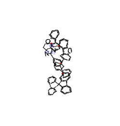 C1=CC(c2ccc3oc4cccc(C5=C/CC/C(c6cccc7c6oc6ccccc67)=N/C(c6ccc(-c7ccccc7)cc6)=N\5)c4c3c2)CC(c2ccc3c(c2)C2(c4ccccc4-c4ccccc42)c2ccccc2-3)=C1